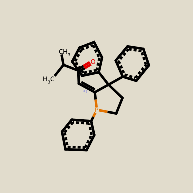 CC(C)C(=O)/C=C1/P(c2ccccc2)CCC1(c1ccccc1)c1ccccc1